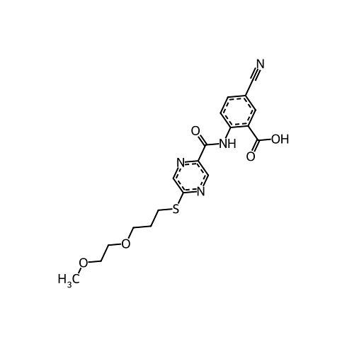 COCCOCCCSc1cnc(C(=O)Nc2ccc(C#N)cc2C(=O)O)cn1